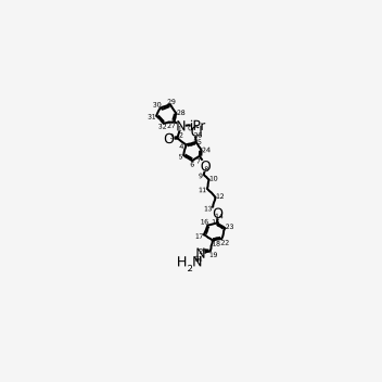 CC(C)N(C(=O)c1ccc(OCCCCCOc2ccc(C=NN)cc2)cc1Cl)c1ccccc1